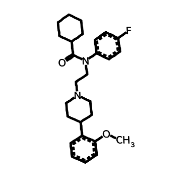 COc1ccccc1C1CCN(CCN(C(=O)C2CCCCC2)c2ccc(F)cc2)CC1